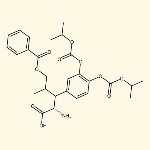 CC(C)OC(=O)Oc1ccc(C(C(C)COC(=O)c2ccccc2)[C@H](N)C(=O)O)cc1OC(=O)OC(C)C